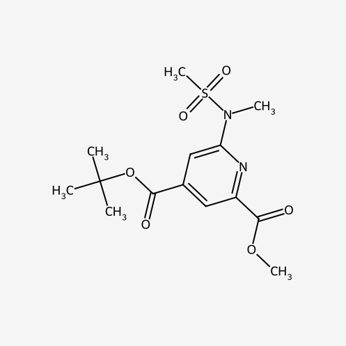 COC(=O)c1cc(C(=O)OC(C)(C)C)cc(N(C)S(C)(=O)=O)n1